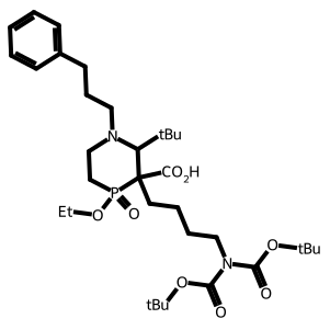 CCOP1(=O)CCN(CCCc2ccccc2)C(C(C)(C)C)C1(CCCCN(C(=O)OC(C)(C)C)C(=O)OC(C)(C)C)C(=O)O